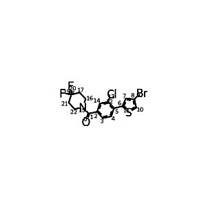 O=C(c1ccc(-c2cc(Br)cs2)c(Cl)c1)N1CCC(F)(F)CC1